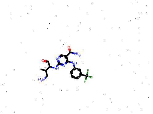 CC(CN)C(C=O)Nc1ncc(C(N)=O)c(Nc2cccc(C(F)(F)F)c2)n1